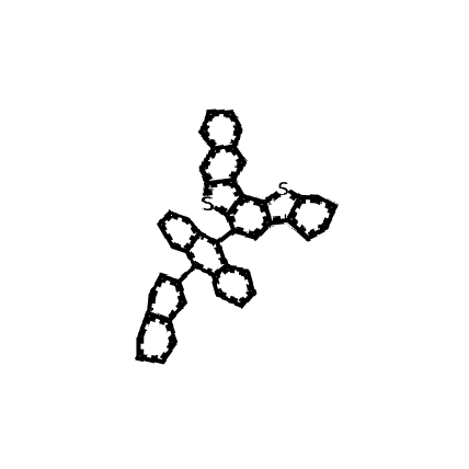 c1ccc2cc(-c3c4ccccc4c(-c4cc5c6ccccc6sc5c5c4sc4cc6ccccc6cc45)c4ccccc34)ccc2c1